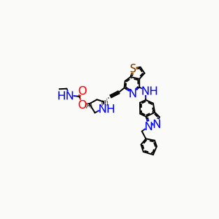 CCNC(=O)O[C@H]1CN[C@@H](C#Cc2cc3sccc3c(Nc3ccc4c(cnn4Cc4ccccc4)c3)n2)C1